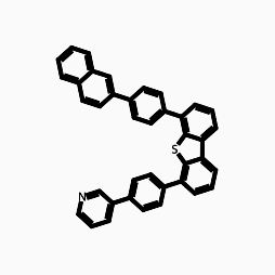 c1cncc(-c2ccc(-c3cccc4c3sc3c(-c5ccc(-c6ccc7ccccc7c6)cc5)cccc34)cc2)c1